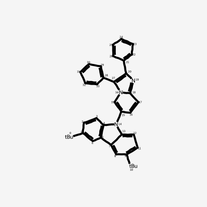 CC(C)(C)c1ccc2c(c1)c1cc(C(C)(C)C)ccc1n2-c1ccc2nc(-c3ccccc3)c(-c3ccccc3)n2c1